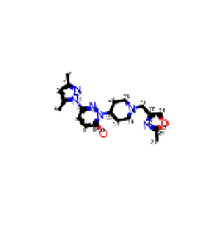 Cc1cc(C)n(-c2ccc(=O)n(C3CCN(Cc4coc(C)n4)CC3)n2)n1